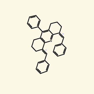 C(=C1\CCCc2c1nc1c(c2-c2ccccc2)CCC/C1=C\c1ccccc1)/c1ccccc1